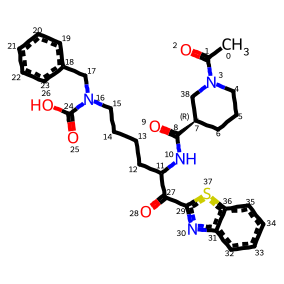 CC(=O)N1CCC[C@@H](C(=O)NC(CCCCN(Cc2ccccc2)C(=O)O)C(=O)c2nc3ccccc3s2)C1